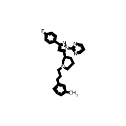 Cc1cccc(CCCN2CCCC(c3cc(-c4ccc(F)cc4)nn3-c3ncccn3)C2)c1